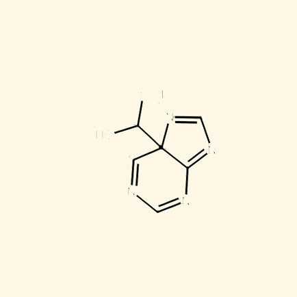 O=C(O)C(O)C12C=NC=NC1=NC=N2